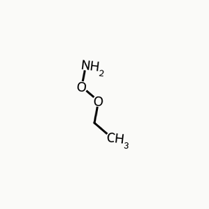 CCOON